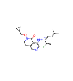 C=C(F)/C(=C\C=C(C)C)Nc1cncc2c1C(=O)N(OCC1CC1)CC2